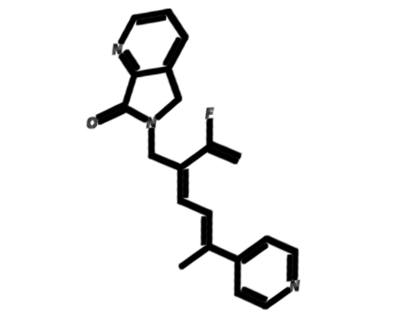 C=C(F)/C(=C\C=C(/C)c1ccncc1)CN1Cc2cccnc2C1=O